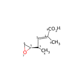 CC(=CC(C)[C@@H]1CO1)C(=O)O